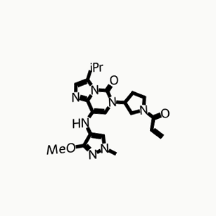 C=CC(=O)N1CCC(n2cc(Nc3cn(C)nc3OC)c3ncc(C(C)C)n3c2=O)C1